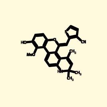 COc1c(O)ccc2c1-c1ccc3c(c1/C(=C/c1sccc1C#N)O2)C(C)=CC(C)(C)N3